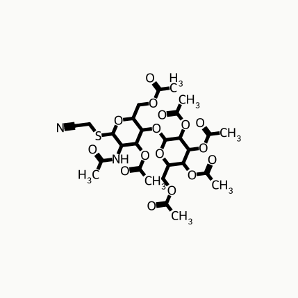 CC(=O)NC1C(SCC#N)OC(COC(C)=O)C(OC2OC(COC(C)=O)C(OC(C)=O)C(OC(C)=O)C2OC(C)=O)C1OC(C)=O